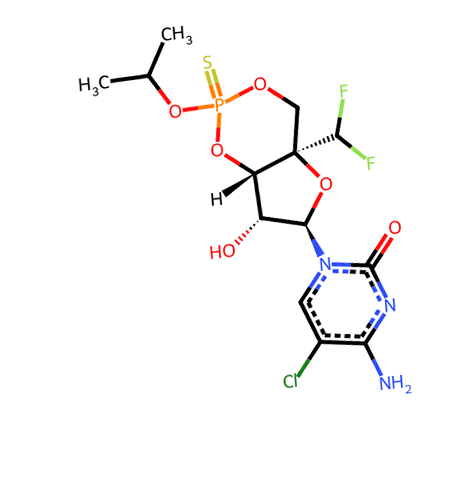 CC(C)OP1(=S)OC[C@@]2(C(F)F)O[C@@H](n3cc(Cl)c(N)nc3=O)[C@H](O)[C@@H]2O1